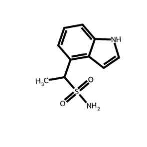 CC(c1cccc2[nH]ccc12)S(N)(=O)=O